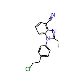 CCc1nc2c(C#N)cccc2n1-c1ccc(CCCl)cc1